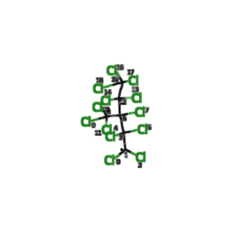 Cl[C](Cl)C(Cl)(Cl)C(Cl)(C(Cl)(Cl)Cl)C(Cl)(Cl)C(Cl)(Cl)Cl